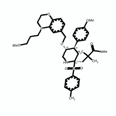 CNC(=O)C(C)(C)C[C@@]1(S(=O)(=O)c2ccc(C)cc2)C[C@H](c2ccc(OC)cc2)[C@@H](OCc2ccc3c(c2)N(CCCOC)CCO3)CN1